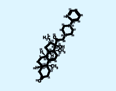 C[C@H]1C[C@H]2[C@@H]3CC[C@H]4CC(=O)CC[C@]4(C)C3=CC[C@]2(C)[C@@]1(O)C(=O)CN1CCN(c2ccccn2)CC1